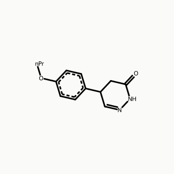 CCCOc1ccc(C2C=NNC(=O)C2)cc1